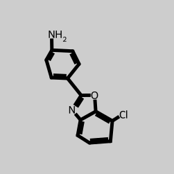 Nc1ccc(-c2nc3cccc(Cl)c3o2)cc1